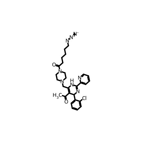 CC(=O)C1=C(CN2CCN(C(=O)CCCCCN=[N+]=[N-])CC2)NC(c2ccccn2)=NC1c1ccccc1Cl